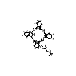 CC(C)OCCCNc1cccc2c3nc4nc(nc5[nH]c(nc6nc(nc([nH]3)c12)-c1ccccc1-6)c1ccccc51)-c1ccccc1-4